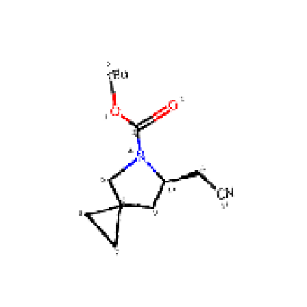 CC(C)(C)OC(=O)N1CC2(CC2)C[C@@H]1CC#N